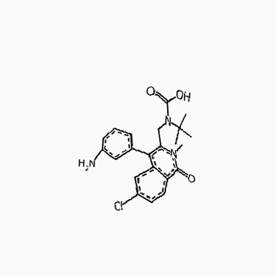 Cn1c(CN(C(=O)O)C(C)(C)C)c(-c2cccc(N)c2)c2cc(Cl)ccc2c1=O